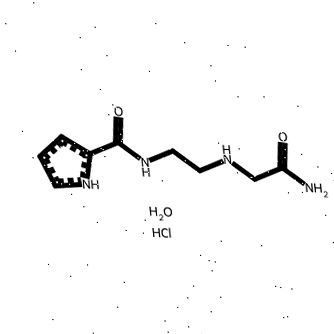 Cl.NC(=O)CNCCNC(=O)c1ccc[nH]1.O